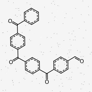 O=Cc1ccc(C(=O)c2ccc(C(=O)c3ccc(C(=O)c4ccccc4)cc3)cc2)cc1